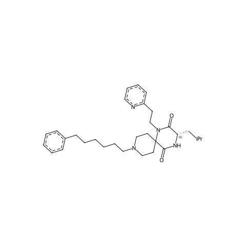 CC(C)C[C@@H]1NC(=O)C2(CCN(CCCCCCc3ccccc3)CC2)N(CCc2ccccn2)C1=O